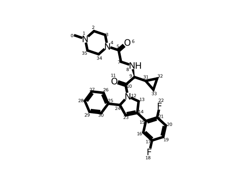 CN1CCN(C(=O)CN[C@H](C(=O)N2CC(c3cc(F)ccc3F)=CC2c2ccccc2)C2CC2)CC1